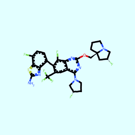 Nc1nc2c(-c3c(C(F)(F)F)cc4c(N5CC[C@H](F)C5)nc(OC[C@@]56CCCN5C[C@H](F)C6)nc4c3F)ccc(F)c2s1